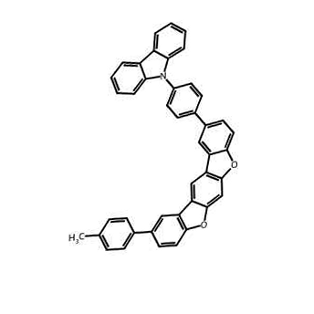 Cc1ccc(-c2ccc3oc4cc5oc6ccc(-c7ccc(-n8c9ccccc9c9ccccc98)cc7)cc6c5cc4c3c2)cc1